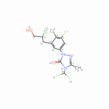 Cc1nn(-c2cc(F)c(Cl)c(CC(Cl)CO)c2)c(=O)n1C(F)F